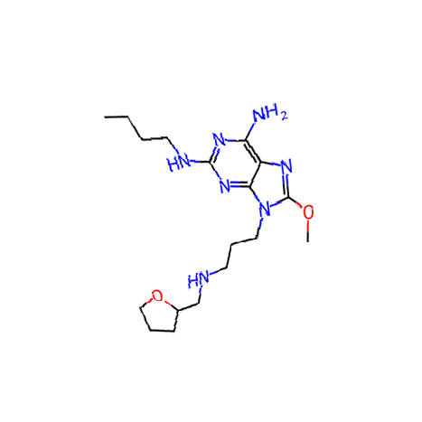 CCCCNc1nc(N)c2nc(OC)n(CCCNCC3CCCO3)c2n1